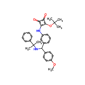 COc1ccc(C(NC(C)(C)c2ccccc2)c2cccc(Nc3c(OC(C)(C)C)c(=O)c3=O)c2)cc1